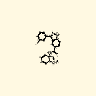 C=C[C@@]1(NC(=O)c2ccc3[nH]nc(-c4cccc(F)c4)c3c2)C=CC=CC1O